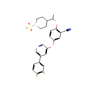 CC(Oc1ccc(Oc2cncc(-c3ccc(F)c(F)c3)c2)cc1C#N)C1CCN(S(C)(=O)=O)CC1